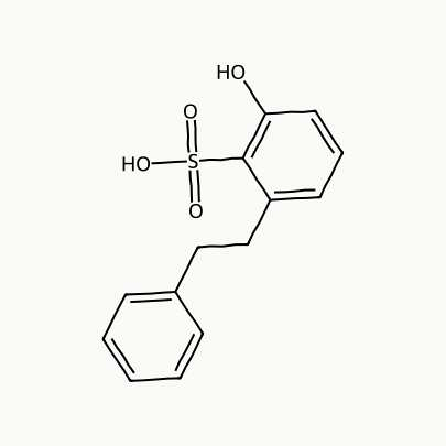 O=S(=O)(O)c1c(O)cccc1CCc1ccccc1